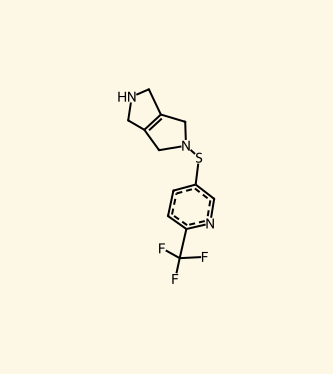 FC(F)(F)c1ccc(SN2CC3=C(CNC3)C2)cn1